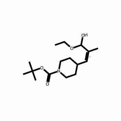 CCOC(O)/C(C)=C\C1CCN(C(=O)OC(C)(C)C)CC1